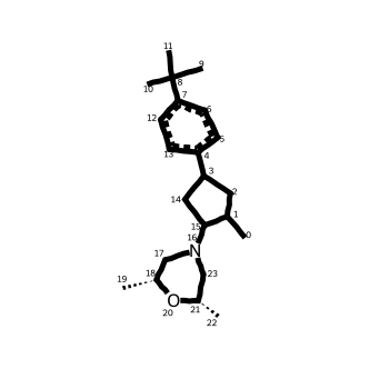 CC1CC(c2ccc(C(C)(C)C)cc2)CC1N1C[C@@H](C)O[C@@H](C)C1